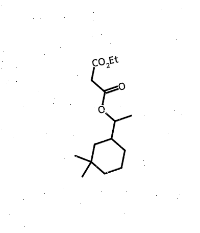 CCOC(=O)CC(=O)OC(C)C1CCCC(C)(C)C1